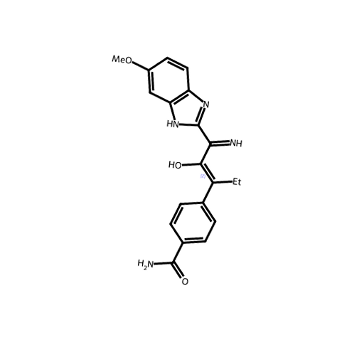 CC/C(=C(/O)C(=N)c1nc2ccc(OC)cc2[nH]1)c1ccc(C(N)=O)cc1